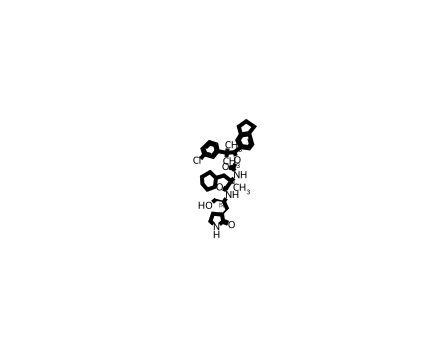 CC(C)(c1cccc(Cl)c1)C(OC(=O)N[C@](C)(CC1CCCCC1)C(=O)N[C@H](CO)C[C@@H]1CCNC1=O)c1ccc2c(c1)CCC2